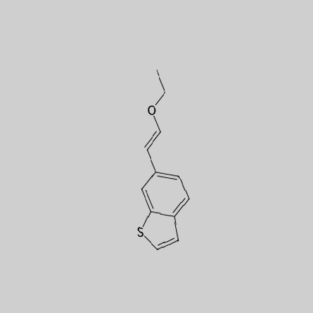 CCO/C=C/c1ccc2ccsc2c1